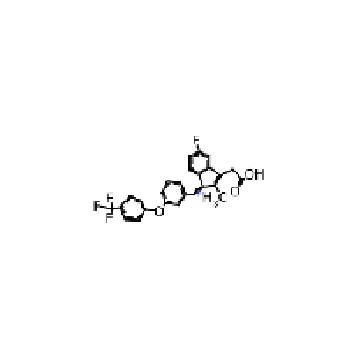 CC1=C(CC(=O)O)c2cc(F)ccc2/C1=C\c1cccc(Oc2ccc(C(F)(F)F)cc2)c1